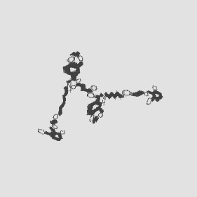 CC1(C)OCc2cc([C@H](CNCCCCCCOCCOCc3c(Cl)cccc3Cl)OC(=O)CCC(=O)O[C@@H](CNCCCCCCOCCOCc3c(Cl)cccc3Cl)c3ccc4c(c3)COC(C)(C)O4)ccc2O1